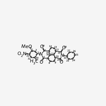 COc1cc(N2C(=O)c3ccc4c5c(ccc(c35)C2=O)C(=O)N(c2ccccc2)C4=O)c(C)cc1[N+](=O)[O-]